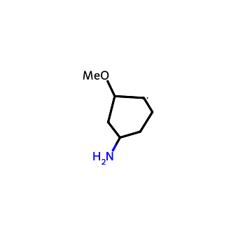 COC1[CH]CCC(N)C1